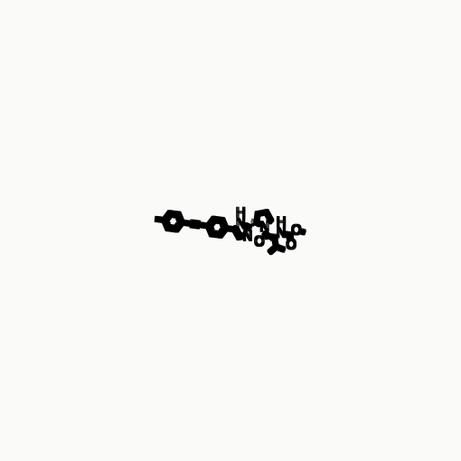 COC(=O)N[C@H](C(=O)N1CCC[C@H]1c1ncc(-c2ccc(C#Cc3ccc(C)cc3)cc2)[nH]1)C(C)C